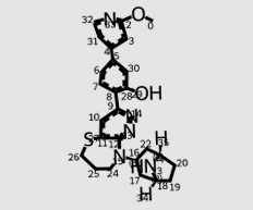 COc1cc(-c2ccc(-c3cc4c(nn3)N([C@@H]3C[C@H]5CC[C@@H](C3)N5)CCCS4)c(O)c2)ccn1